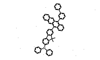 CC1(C)c2cc(-c3c4ccccc4c(-c4cccc(-c5ccccc5)c4)c4cc5ccccc5cc34)ccc2-c2ccc(N(c3ccccc3)c3ccccc3)cc21